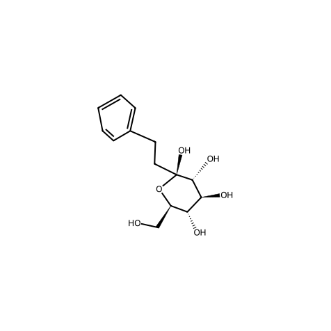 OC[C@H]1O[C@](O)(CCc2ccccc2)[C@H](O)[C@@H](O)[C@@H]1O